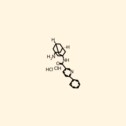 Cl.Cl.NC12C[C@H]3C[C@@H](C1)CC(NC(=O)c1ccc(-c4ccccc4)nc1)(C3)C2